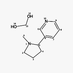 CN1CCCC1c1cccnc1.OCO